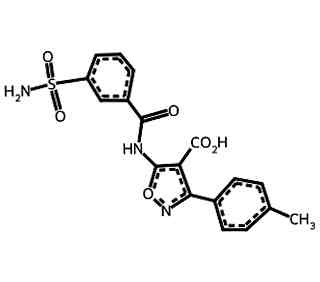 Cc1ccc(-c2noc(NC(=O)c3cccc(S(N)(=O)=O)c3)c2C(=O)O)cc1